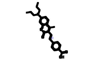 CCCN(CCC)c1ccc2c(C)c(/C=C/c3ccc(C(=O)O)cc3)c(=O)oc2c1